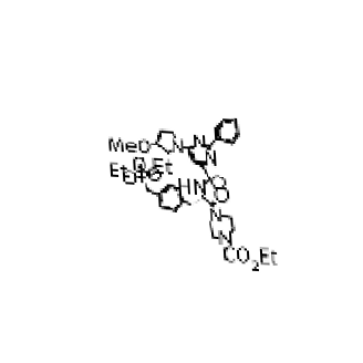 CCOC(=O)N1CCN(C(=O)[C@H](Cc2ccc(CP(=O)(OCC)OCC)cc2)NC(=O)c2cc(N3CC[C@H](OC)C3)nc(-c3ccccc3)n2)CC1